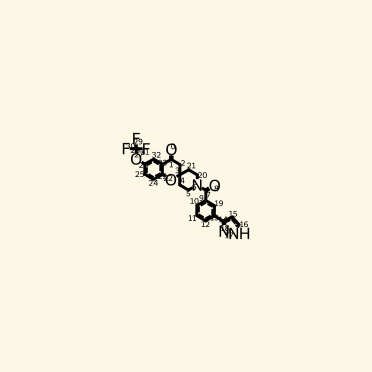 O=C1CC2(CCN(C(=O)c3cccc(-c4cc[nH]n4)c3)CC2)Oc2ccc(OC(F)(F)F)cc21